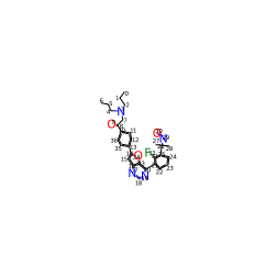 CCCN(CCC)CC(=O)c1ccc(-c2cc3ncnc(-c4cccc(C(C)(C)N=O)c4F)c3o2)cc1